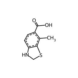 Cc1c(C(=O)O)ccc2c1SCN2